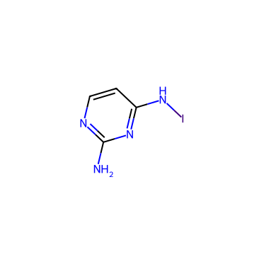 Nc1nccc(NI)n1